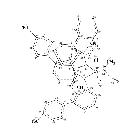 CC1=Cc2c(-c3ccc(C(C)(C)C)cc3)ccc(C)c2[CH]1[Zr]([Cl])([Cl])([CH]1C(c2cccc3c2ccc2ccccc23)=Cc2c(-c3ccc(C(C)(C)C)cc3)cccc21)[SiH](C)C